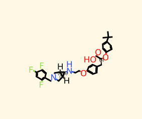 CC(C)(C)c1ccc(O[C@@H](Cc2ccc(OCCN[C@H]3[C@@H]4CN(Cc5cc(F)c(F)cc5F)C[C@@H]43)cc2)C(=O)O)cc1